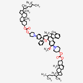 COc1cc2c3c(c4c(c2cc1N1CCC(OC(=O)OC2CCC5(C)C(=CCC6C5CCC5(C)C(C(C)CCCC(C)C)CCC65)C2)CC1)-c1ccccc1C4(C)C)C=CC(c1ccccc1)(c1ccc(N2CCC(OC(=O)OC4CCC5(C)C(=CCC6C5CCC5(C)C(C(C)CCCC(C)C)CCC65)C4)CC2)cc1)O3